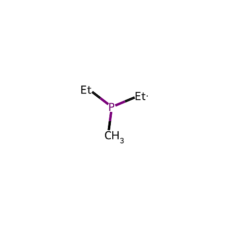 C[CH]P(C)CC